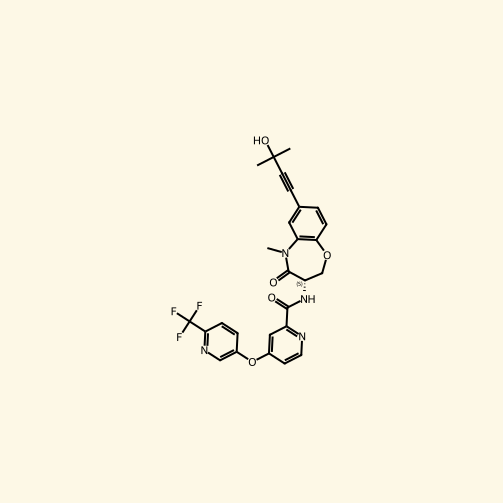 CN1C(=O)[C@@H](NC(=O)c2cc(Oc3ccc(C(F)(F)F)nc3)ccn2)COc2ccc(C#CC(C)(C)O)cc21